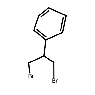 BrCC(CBr)c1ccccc1